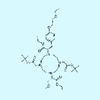 CCOCCOc1ccc(C[C@H](C(=O)OCC)N2CCN(CC(=O)OC(C)(C)C)CCN([C@@H](COC)C(=O)OCC)CCN(CC(=O)OC(C)(C)C)CC2)cc1